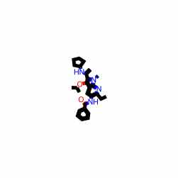 C=C(NC1CCCC1)c1c(OC(C)C)c2cc(NC(=O)c3ccccc3)c(CC)nc2n1C